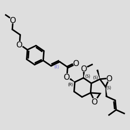 COCCOc1ccc(/C=C/C(=O)O[C@@H]2CCC3(CO3)C([C@]3(C)O[C@H]3CC=C(C)C)[C@@H]2OC)cc1